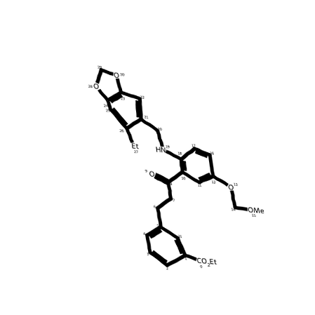 CCOC(=O)c1cccc(CCC(=O)c2cc(OCOC)ccc2NCc2cc3c(cc2CC)OCO3)c1